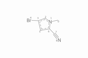 Cn1cc(Br)cc1C#N